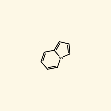 C1=CC2=CC=C[As]2C=C1